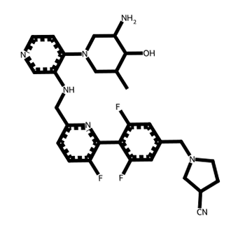 CC1CN(c2ccncc2NCc2ccc(F)c(-c3c(F)cc(CN4CCC(C#N)C4)cc3F)n2)CC(N)C1O